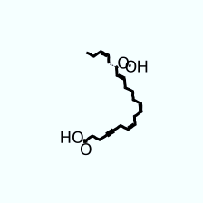 CC/C=C\C[C@@H](/C=C/CCC/C=C\C/C=C\CC#CCCC(=O)O)OO